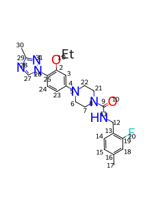 CCOc1cc(N2CCN(C(=O)NCc3ccc(C)cc3F)CC2)ccc1-n1cnc(C)n1